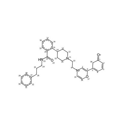 O=C1C=CC=C(C2=CN(CCN3CCC(c4ccccc4C(=O)NCCCc4ccccc4)CC3)C=CO2)C1